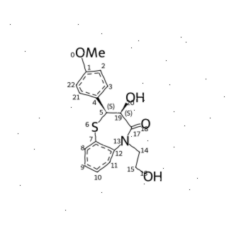 COc1ccc([C@@H]2Sc3ccccc3N(CCO)C(=O)[C@@H]2O)cc1